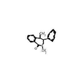 CC1c2ccccc2C(=O)N(C)CC1c1ccccc1